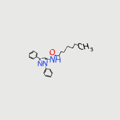 CCCCCCCC(=O)Nc1cc(-c2ccccc2)nn1-c1ccccc1